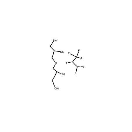 FC(F)C(F)C(F)(F)F.OCC(O)COCC(O)CO